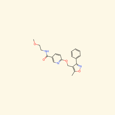 COCCNC(=O)c1ccc(OCc2c(-c3ccccc3)noc2C)nc1